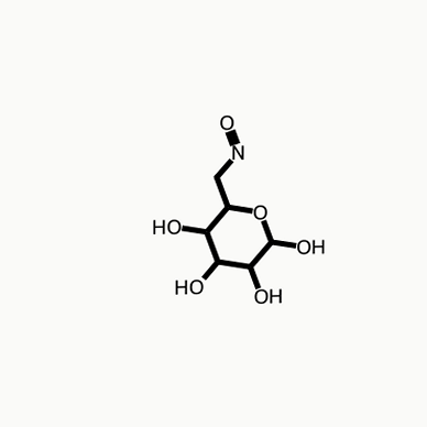 O=NCC1OC(O)C(O)C(O)C1O